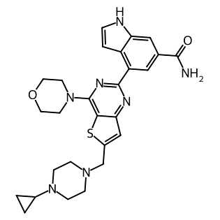 NC(=O)c1cc(-c2nc(N3CCOCC3)c3sc(CN4CCN(C5CC5)CC4)cc3n2)c2cc[nH]c2c1